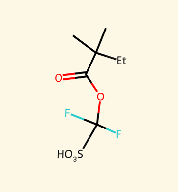 CCC(C)(C)C(=O)OC(F)(F)S(=O)(=O)O